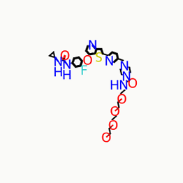 COCCOCCOCCOCCNC(=O)N1CCN(Cc2ccc(-c3cc4nccc(Oc5ccc(NC(=O)NC6CC6)cc5F)c4s3)nc2)CC1